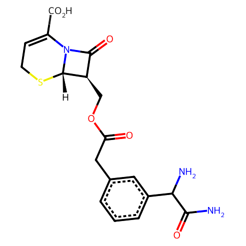 NC(=O)C(N)c1cccc(CC(=O)OC[C@@H]2C(=O)N3C(C(=O)O)=CCS[C@@H]23)c1